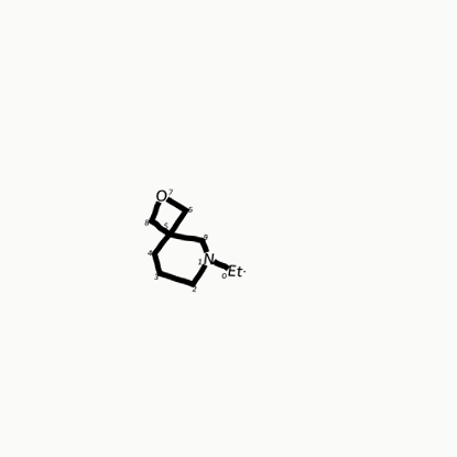 C[CH]N1CCCC2(COC2)C1